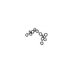 c1ccc(-c2ccc(N(c3ccc(-c4ccc5oc6cc7nc(-c8ccccc8)oc7cc6c5c4)cc3)c3ccccc3-c3ccccc3)cc2)cc1